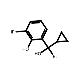 CCC(O)(c1cccc(C(C)C)c1O)C1CC1